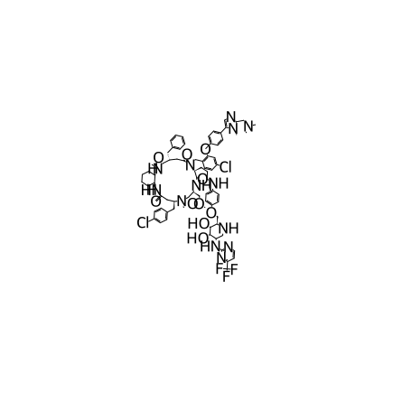 COC[C@@H]1NC(=O)[C@H](CCCNc2ccc(OC[C@H]3NC[C@H](Nc4nccc(C(F)(F)F)n4)[C@@H](O)[C@H]3O)cc2)N(Cc2ccc(Cl)cc2Oc2ccc(-c3cnc(CN(C)C)n3C)cc2)C(=O)C[C@@H](Cc2ccccc2)C(=O)N(C)[C@H]2CCCC[C@@H]2NC(=O)C[C@H](Cc2ccc(Cl)cc2)N(C)C1=O